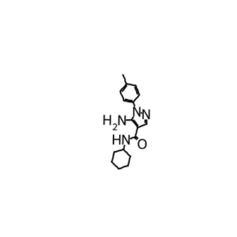 Cc1ccc(-n2ncc(C(=O)NC3CCCCC3)c2N)cc1